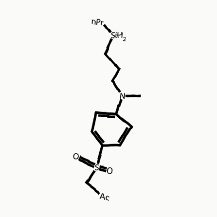 CCC[SiH2]CCCN(C)c1ccc(S(=O)(=O)CC(C)=O)cc1